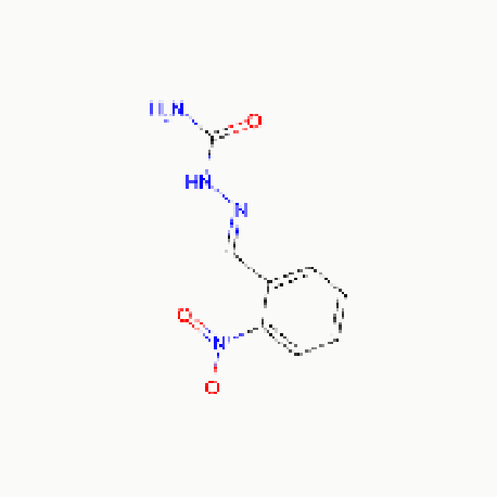 NC(=O)N/N=C/c1ccccc1[N+](=O)[O-]